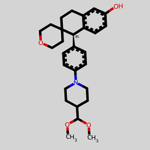 COC(OC)C1CCN(c2ccc([C@@H]3c4ccc(O)cc4CCC34CCOCC4)cc2)CC1